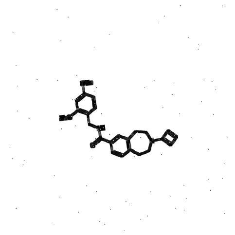 COc1ccc(CNC(=O)c2ccc3c(c2)CCN(C2=CC=C2)CC3)c(OC)c1